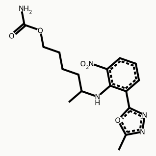 Cc1nnc(-c2cccc([N+](=O)[O-])c2NC(C)CCCCOC(N)=O)o1